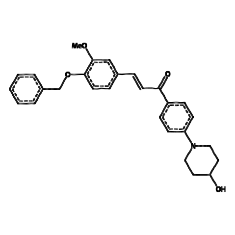 COc1cc(C=CC(=O)c2ccc(N3CCC(O)CC3)cc2)ccc1OCc1ccccc1